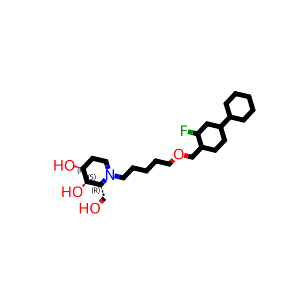 OC[C@@H]1[C@H](O)[C@H](O)CCN1CCCCCOCC1CCC(C2CCCCC2)CC1F